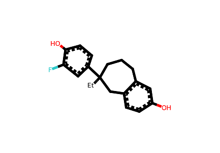 CCC1(c2ccc(O)c(F)c2)CCCc2cc(O)ccc2C1